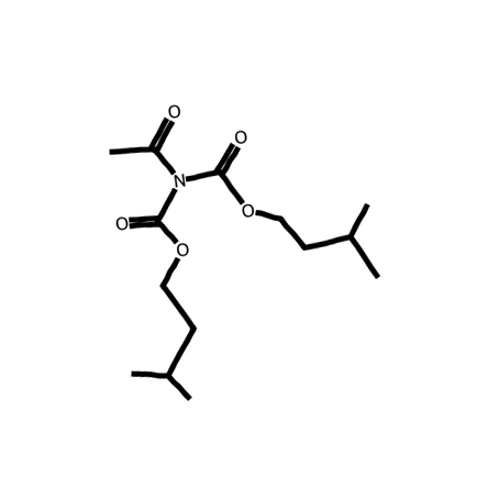 CC(=O)N(C(=O)OCCC(C)C)C(=O)OCCC(C)C